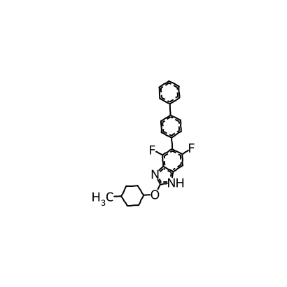 CC1CCC(Oc2nc3c(F)c(-c4ccc(-c5ccccc5)cc4)c(F)cc3[nH]2)CC1